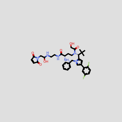 CC(C)(C)[C@H](c1cc(-c2cc(F)ccc2F)cn1Cc1ccccc1)N(CC[C@H](N)C(=O)NCCNC(O)CN1C(=O)C=CC1=O)C(=O)CO